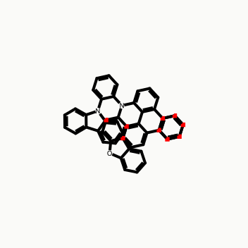 c1ccc(-c2ccccc2-c2c(-c3ccccc3)cccc2N(c2ccc3oc4ccccc4c3c2)c2ccccc2-n2c3ccccc3c3ccccc32)cc1